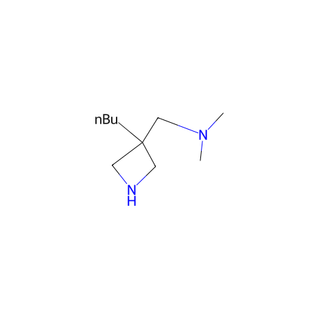 CCCCC1(CN(C)C)CNC1